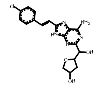 Nc1nc(C(O)C2CC(O)CO2)nc2[nH]c(/C=C/c3ccc(Cl)cc3)nc12